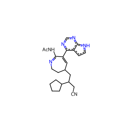 CC(=O)NC1=NCCC(CC(CC#N)C2CCCC2)C=C1c1ncnc2[nH]ccc12